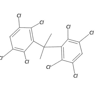 CC(C)(c1c(Cl)c(Cl)cc(Cl)c1Cl)c1c(Cl)c(Cl)cc(Cl)c1Cl